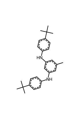 Cc1cc(Nc2ccc(C(C)(C)C)cc2)cc(Nc2ccc(C(C)(C)C)cc2)c1